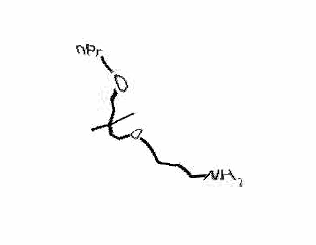 [CH2]CCOCC(C)(C)COCCCN